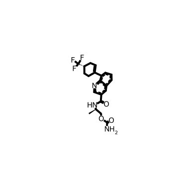 C[C@H](COC(N)=O)NC(=O)c1cnc2c(C3=CC[C@@H](C(F)(F)F)CC3)cccc2c1